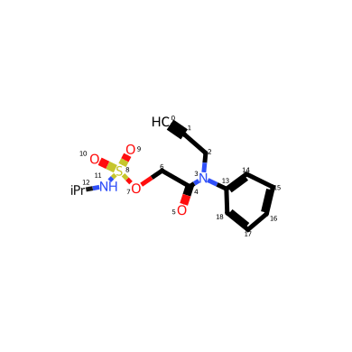 C#CCN(C(=O)COS(=O)(=O)NC(C)C)c1ccccc1